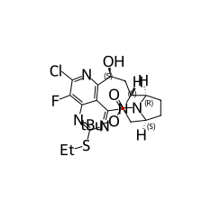 CCSc1nc2c3c(nc(Cl)c(F)c3n1)[C@@H](O)C[C@@H]1[C@H]3CC[C@@H](CN21)N3C(=O)OC(C)(C)C